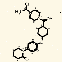 CC(C)N1CCN(C(=O)C2CCC(Oc3ccc(N4CCCCC4=O)cc3)CC2)CC1